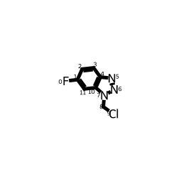 Fc1ccc2nnn(CCl)c2c1